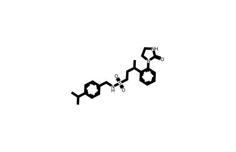 CC(C)c1ccc(CNS(=O)(=O)CCC(C)c2ccccc2N2CCNC2=O)cc1